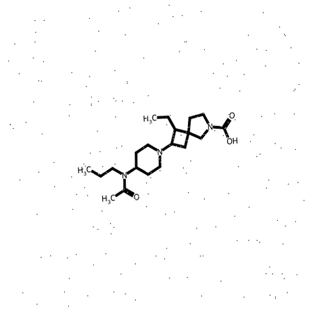 CCCN(C(C)=O)C1CCN(C2CC3(CCN(C(=O)O)C3)C2CC)CC1